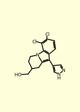 OCC1CCn2c(c(-c3cn[nH]c3)c3ccc(Cl)c(Cl)c32)C1